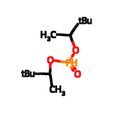 CC(O[PH](=O)OC(C)C(C)(C)C)C(C)(C)C